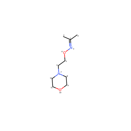 CC(C)=NOCCN1CCOCC1